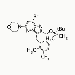 Cc1c(Cc2c(CO[Si](C)(C)C(C)(C)C)nc3c(Br)cc(N4CCOCC4)nn23)cccc1C(F)(F)F